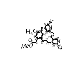 COC(=O)Cc1cc(C)c(Br)cc1CCCc1cc(Cl)ncc1COc1cccc(Br)n1